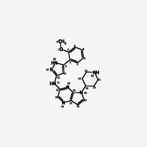 COc1ccccc1-c1cc(Nc2cnc3ccn(C4CCNCC4)c3n2)n[nH]1